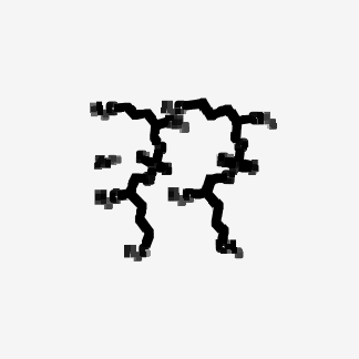 CCCCC(C)COP(=S)([S-])OCC(C)CCCC.CCCCC(C)COP(=S)([S-])OCC(C)CCCC.[Zn+2]